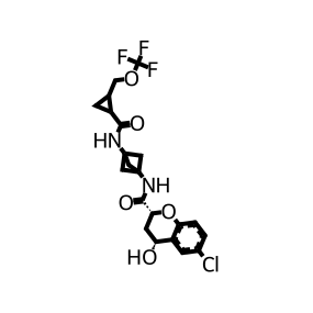 O=C(NC12CC(NC(=O)[C@H]3C[C@@H](O)c4cc(Cl)ccc4O3)(C1)C2)C1CC1COC(F)(F)F